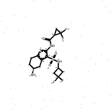 N[C@H]1CCc2sc(NC(=O)C3CC3(F)F)c(S(=O)(=O)NC3CC(F)(F)C3)c2C1